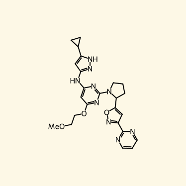 COCCOc1cc(Nc2cc(C3CC3)[nH]n2)nc(N2CCCC2c2cc(-c3ncccn3)no2)n1